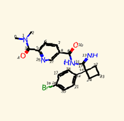 CN(C)C(=O)c1ccc(C(=O)NC(=N)C2(c3ccc(Br)cc3)CCC2)cn1